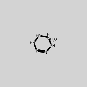 O.n1p[nH][pH][nH][pH]1